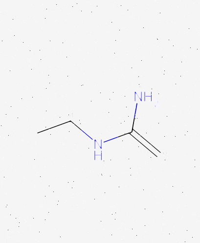 C=C(N)NCC